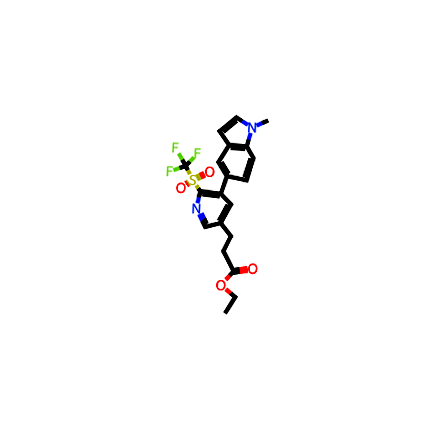 CCOC(=O)CCc1cnc(S(=O)(=O)C(F)(F)F)c(-c2ccc3c(ccn3C)c2)c1